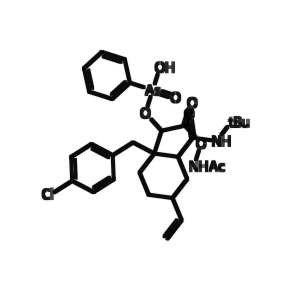 C=CC1CCC(Cc2ccc(Cl)cc2)(C(O[As](=O)(O)c2ccccc2)C(=O)ONC(C)=O)C(C(=O)NC(C)(C)C)C1